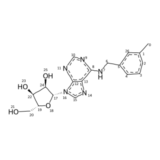 Cc1cccc(CNc2ncnc3c2ncn3[C@@H]2O[C@H](CO)[C@@H](O)[C@H]2O)c1